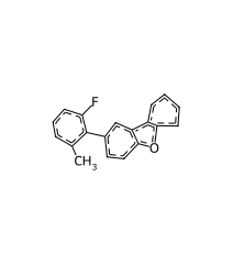 Cc1cccc(F)c1-c1ccc2oc3ccccc3c2c1